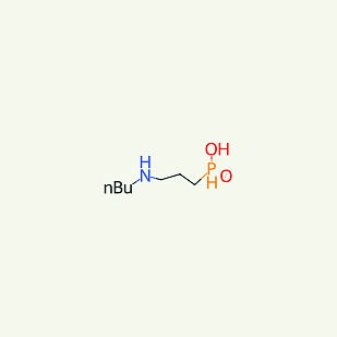 CCCCNCCC[PH](=O)O